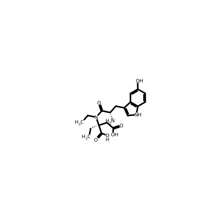 CCN(C(=O)[C@@H](N)Cc1c[nH]c2ccc(O)cc12)[C@@](CC)(CC(=O)O)C(=O)O